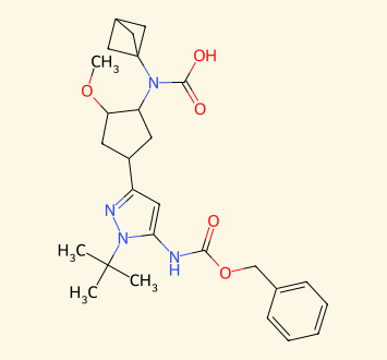 COC1CC(c2cc(NC(=O)OCc3ccccc3)n(C(C)(C)C)n2)CC1N(C(=O)O)C12CC(C1)C2